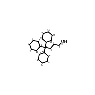 OCCCC(C1CCCCC1)(C1CCCCC1)C1CCCCC1